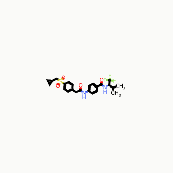 CC(C)[C@@H](NC(=O)c1ccc(NC(=O)Cc2ccc(S(=O)(=O)CC3CC3)cc2)cc1)C(F)(F)F